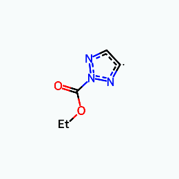 CCOC(=O)n1n[c]cn1